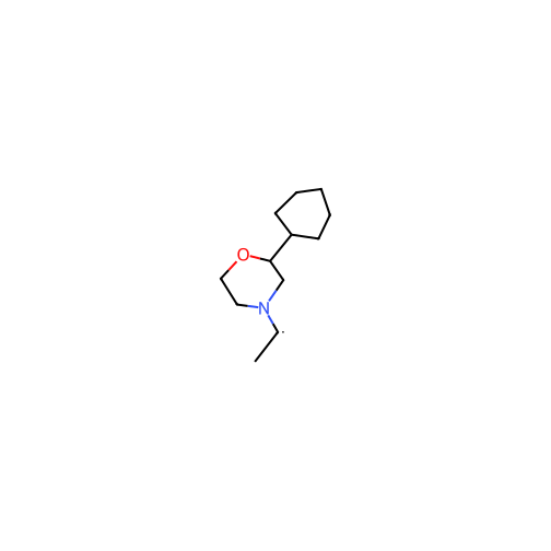 C[CH]N1CCOC(C2CCCCC2)C1